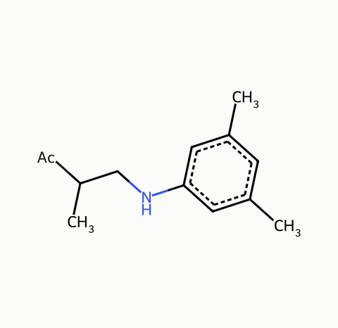 CC(=O)C(C)CNc1cc(C)cc(C)c1